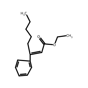 CCCCC/C(=C\C(=O)OCC)c1ccccc1